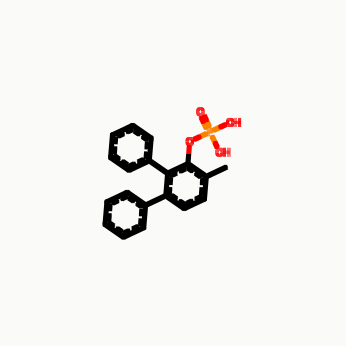 Cc1ccc(-c2ccccc2)c(-c2ccccc2)c1OP(=O)(O)O